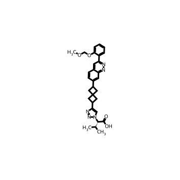 COCOc1ccccc1-c1cc2ccc(C3CC4(C3)CC(c3cn([C@H](C(=O)O)C(C)C)nn3)C4)cc2nn1